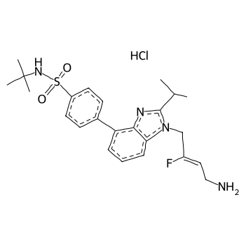 CC(C)c1nc2c(-c3ccc(S(=O)(=O)NC(C)(C)C)cc3)cccc2n1CC(F)=CCN.Cl